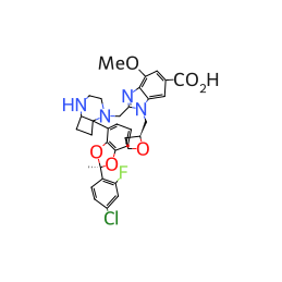 COc1cc(C(=O)O)cc2c1nc(CN1CCNC3CCC31c1cccc3c1O[C@](C)(c1ccc(Cl)cc1F)O3)n2C[C@@H]1CCO1